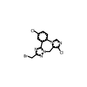 Clc1ccc2c(c1)-c1nc(CBr)nn1Cc1c(Cl)ncn1-2